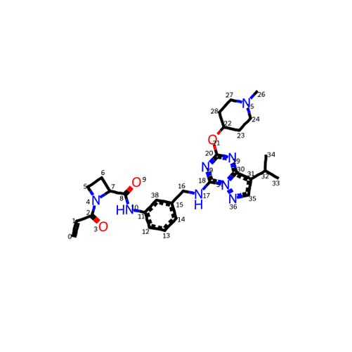 C=CC(=O)N1CCC1C(=O)Nc1cccc(CNc2nc(OC3CCN(C)CC3)nc3c(C(C)C)cnn23)c1